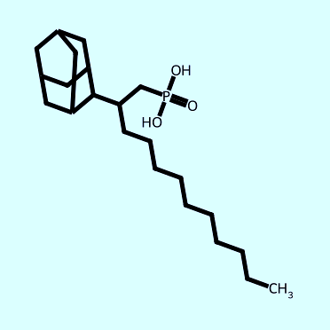 CCCCCCCCCCC(CP(=O)(O)O)C1C2CC3CC(C2)CC1C3